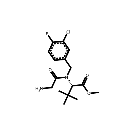 COC(=O)[C@@H](N(Cc1ccc(F)c(Cl)c1)C(=O)CN)C(C)(C)C